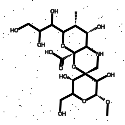 CO[C@@H]1OC(CO)[C@H](O)[C@@]2(CNC3[C@@H](O)[C@@H](C)C(C(O)C(O)CO)O[C@]3(C(=O)O)O2)C1O